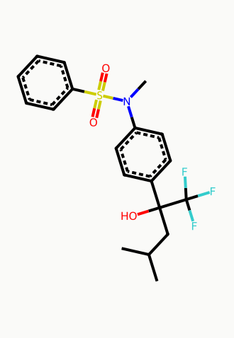 CC(C)CC(O)(c1ccc(N(C)S(=O)(=O)c2ccccc2)cc1)C(F)(F)F